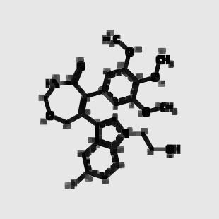 COc1cc(C2=C(c3cn(CCO)c4ccc(F)cc34)COCNC2=O)cc(OC)c1OC